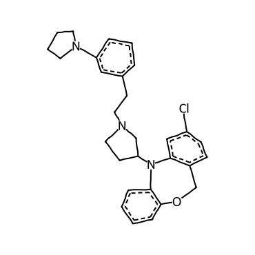 Clc1ccc2c(c1)N(C1CCN(CCc3cccc(N4CCCC4)c3)C1)c1ccccc1OC2